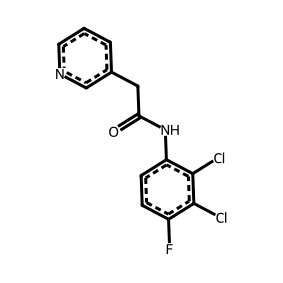 O=C(Cc1cccnc1)Nc1ccc(F)c(Cl)c1Cl